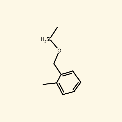 C[SiH2]OCc1ccccc1C